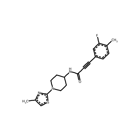 Cc1csc(N2CCC(NC(=O)C#Cc3ccc(C)c(F)c3)CC2)n1